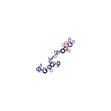 CCn1cnnc1-c1cccc(N2Cc3c(cc(N4CCC[C@H]4C)nc3CN(C)CCOCCNc3ccc4c(c3)C(=O)N(C3CCC(=O)NC3=O)C4=O)C2=O)n1